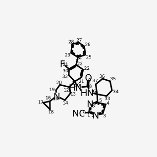 N#Cc1nccc(C2(NC(=O)NC3(C4CCN(C5CC5)CC4)C=CC(c4ccccc4)=C(F)C3)CCCCC2)n1